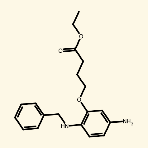 CCOC(=O)CCCOc1cc(N)ccc1NCc1ccccc1